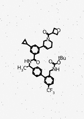 C[C@@H](NC(=O)c1cc(C2=CCCN(C(=O)C3COC3)C2)cc(C2CC2)c1)c1ccc(-c2cc(C(F)(F)F)ccc2CNC(=O)OC(C)(C)C)cc1